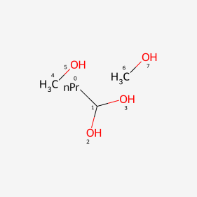 CCCC(O)O.CO.CO